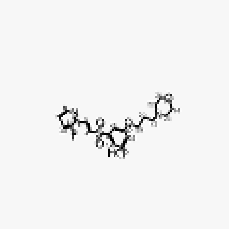 Cl.O=S(=O)(C=Cc1ncccc1F)c1cccc(OCCCN2CCOCC2)c1